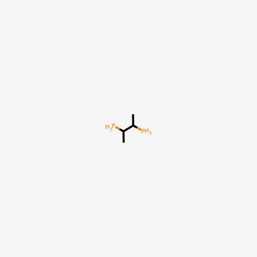 CC(P)C(C)P